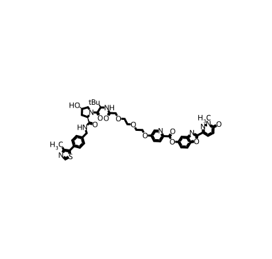 Cc1ncsc1-c1ccc(CNC(=O)[C@H]2C[C@H](O)CN2C(=O)[C@H](NC(=O)COCCOCCOc2ccc(C(=O)Oc3ccc4oc(-c5ccc(=O)n(C)n5)nc4c3)nc2)C(C)(C)C)cc1